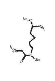 CC(C)(C)N(CCCC[C@H](N)C(=O)O)C(=O)CN